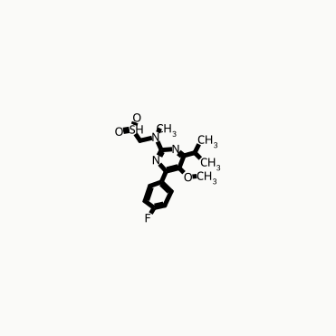 COc1c(-c2ccc(F)cc2)nc(N(C)C[SH](=O)=O)nc1C(C)C